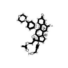 CC(=O)OCC(=O)[C@@]1(C#CCO)CC[C@H]2[C@@H]3CC(F)C4=CC(=O)CCC4=C3[C@@H](c3ccc(N4CCOCC4)cc3)C[C@@]21C